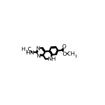 CNc1ncc2c(n1)CNc1cc(C(=O)OC)ccc1-2